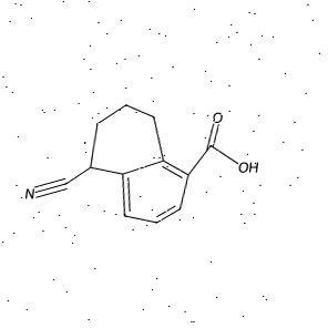 N#CC1CCCc2c(C(=O)O)cccc21